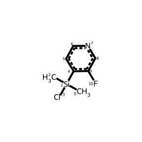 C[Si](C)(Cl)c1ccncc1F